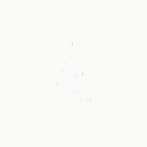 Cc1ccc(-c2ccc3c(O)c(C(=O)NCC(=O)O)c(=O)n(C)c3n2)cc1